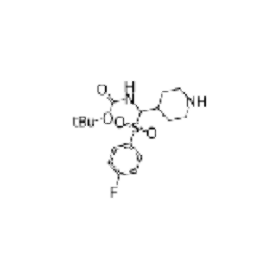 CC(C)(C)OC(=O)NC(C1CCNCC1)S(=O)(=O)c1ccc(F)cc1